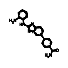 NC(=O)c1ccc(-c2ccc3nc(Nc4ccccc4N)nn3c2)cc1